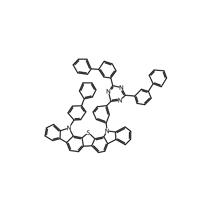 c1ccc(-c2ccc(-n3c4ccccc4c4ccc5c6ccc7c8ccccc8n(-c8cccc(-c9nc(-c%10cccc(-c%11ccccc%11)c%10)nc(-c%10cccc(-c%11ccccc%11)c%10)n9)c8)c7c6sc5c43)cc2)cc1